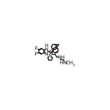 CNCCNCCCN(c1nc2cc(F)c(F)cc2[nH]1)[C@@H]1CC[C@]2(C3C=C(CN4CCCC4)C=CC3)CC2C1